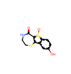 O=C1NCCSc2c1[s+]([O-])c1ccc(O)cc21